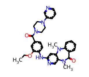 CCOc1cc(C(=O)N2CCN(c3cccnc3)CC2)ccc1Nc1cc2c(cn1)N(C)C(=O)c1ccccc1N2C